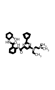 CCN(CCN(C)C)c1cc(C(=O)Nc2ccccc2C(=O)N[C@@H]2CCCC[C@H]2O)nc(-c2ccccc2)n1